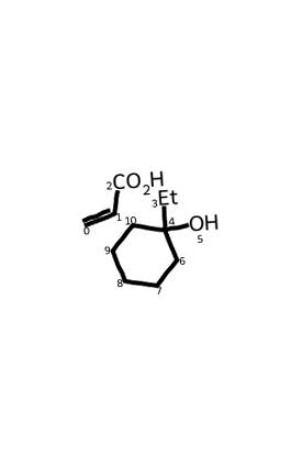 C=CC(=O)O.CCC1(O)CCCCC1